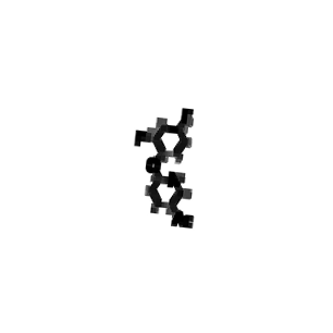 CC(=O)c1ccc(Oc2ccc(F)cc2F)nc1